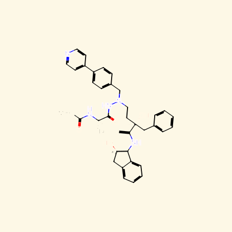 C=C(NC1c2ccccc2C[C@H]1O)[C@@](O)(CCN(Cc1ccc(-c2ccncc2)cc1)NC(=O)[C@@H](NC(=O)OC)C(C)(C)C)Cc1ccccc1